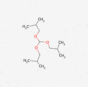 CC(C)COC(OCC(C)C)OCC(C)C